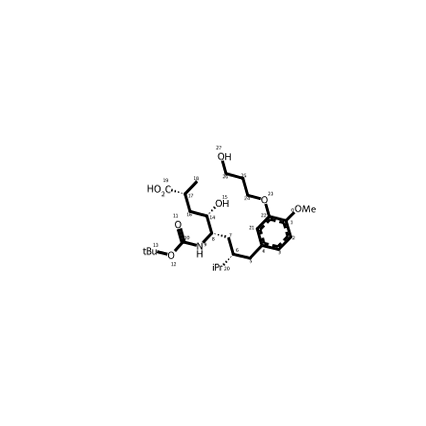 COc1ccc(C[C@@H](C[C@H](NC(=O)OC(C)(C)C)[C@@H](O)C[C@@H](C)C(=O)O)C(C)C)cc1OCCCO